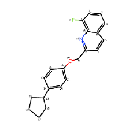 Fc1cccc2ccc(COc3ccc(C4[CH]CCC4)cc3)nc12